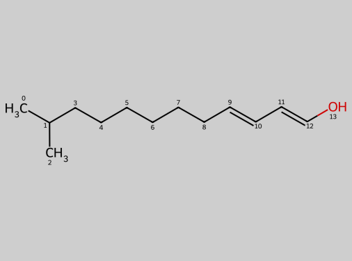 CC(C)CCCCCCC=CC=CO